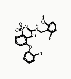 COc1cccc(F)c1CNC1=NS(=O)(=O)c2cccc(Oc3ccccc3Cl)c2N1